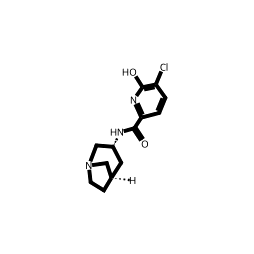 O=C(N[C@@H]1C[C@H]2CCN(C2)C1)c1ccc(Cl)c(O)n1